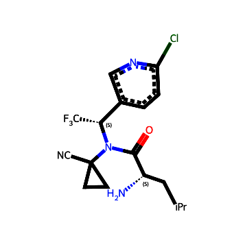 CC(C)C[C@H](N)C(=O)N([C@@H](c1ccc(Cl)nc1)C(F)(F)F)C1(C#N)CC1